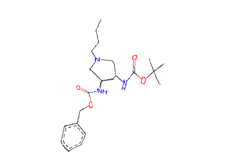 CCCCN1CC(NC(=O)OCc2ccccc2)C(NC(=O)OC(C)(C)C)C1